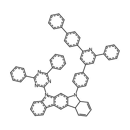 C1=CC2c3cc4c5ccccc5n(-c5nc(-c6ccccc6)nc(-c6ccccc6)n5)c4cc3N(c3ccc(-c4cc(-c5ccccc5)nc(-c5ccc(-c6ccccc6)cc5)c4)cc3)C2C=C1